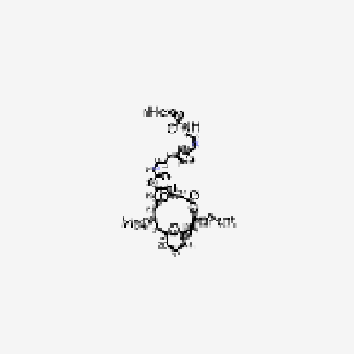 CCCCCCOC(=O)NC/C=C\c1nc(CC/C=C\C(=O)O[C@@H]2CC3C[C@H](OC)CC4CCC[C@@H](C[C@H](CCCCC)OC(=O)C[C@H](C2)O3)O4)co1